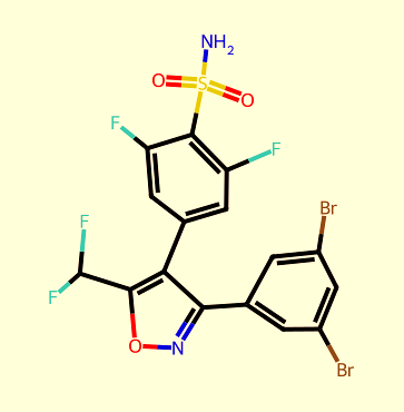 NS(=O)(=O)c1c(F)cc(-c2c(-c3cc(Br)cc(Br)c3)noc2C(F)F)cc1F